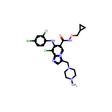 CN1CCN(Cc2cnc3c(Cl)c(Nc4ccc(Br)cc4Cl)c(C(=O)NOCC4CC4)cn23)CC1